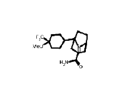 COC1(C(F)(F)F)CCC(C23CCC(CC(C(N)=O)C2)N3)CC1